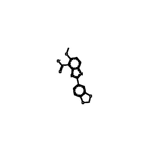 COc1ccc2nc(-c3ccc4c(c3)OCO4)sc2c1[N+](=O)[O-]